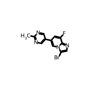 Cc1ncc(-c2cc(F)c3ncc(Br)n3c2)cn1